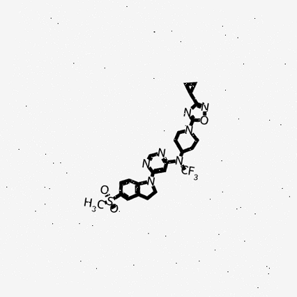 CS(=O)(=O)c1ccc2c(c1)CCN2c1cc(N(C2CCN(c3nc(C4CC4)no3)CC2)C(F)(F)F)ncn1